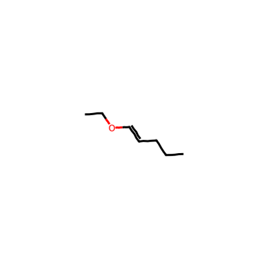 CCCC=COCC